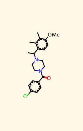 COc1ccc(C(C)N2CCN(C(=O)c3ccc(Cl)cc3)CC2)c(C)c1C